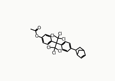 CC(=O)Oc1ccc(C(c2ccc(C3CC4C=CC3C4)cc2)(C(Cl)(Cl)Cl)C(Cl)(Cl)Cl)cc1